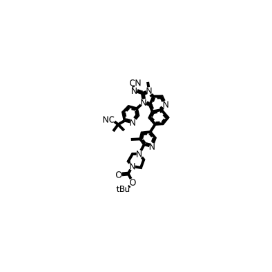 Cc1cc(-c2ccc3ncc4c(c3c2)n(-c2ccc(C(C)(C)C#N)nc2)c(=NC#N)n4C)cnc1N1CCN(C(=O)OC(C)(C)C)CC1